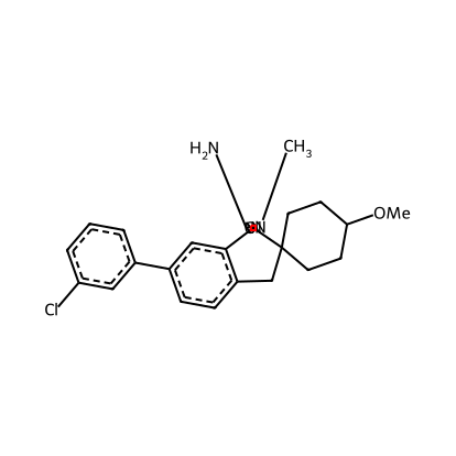 COC1CCC2(CC1)Cc1ccc(-c3cccc(Cl)c3)cc1C21N=C(N)N(C)O1